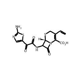 C=CC1=C(C(=O)O)N2C(=O)C(NC(=O)C(=O)c3cnc(N)s3)[C@@H]2SC1